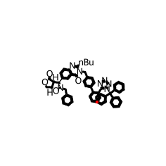 CCCCc1nc2ccc([C@@H]3[C@H]4C(=O)OC[C@H]4ON3Cc3ccccc3)cc2c(=O)n1Cc1ccc(-c2ccccc2-c2nnnn2C(c2ccccc2)(c2ccccc2)c2ccccc2)cc1